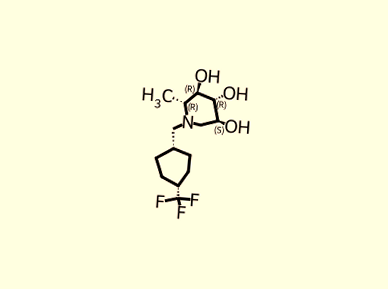 C[C@@H]1[C@@H](O)[C@H](O)[C@@H](O)CN1C[C@H]1CC[C@@H](C(F)(F)F)CC1